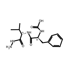 CC(C)[C@H](NC(=O)[C@H](Cc1ccccc1)NC(=O)O)C(=O)NN